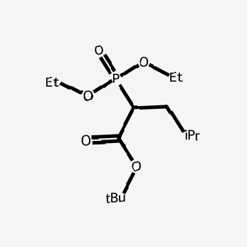 CCOP(=O)(OCC)C(CC(C)C)C(=O)OC(C)(C)C